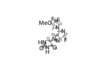 COC1CN(c2ncc(F)c3nn(-c4c[nH]c(=O)[nH]c4=O)cc23)CC1(F)F